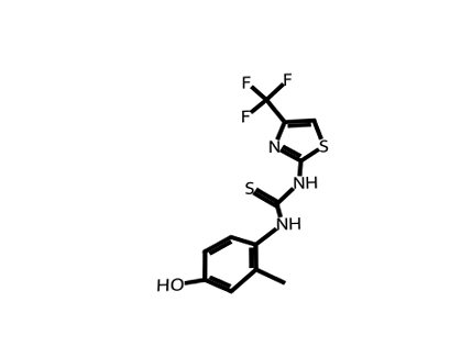 Cc1cc(O)ccc1NC(=S)Nc1nc(C(F)(F)F)cs1